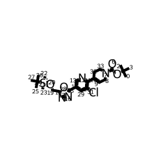 CC(C)(C)OC(=O)N1CC=C(c2ncc(-c3nnc(CO[Si](C)(C)C(C)(C)C)o3)cc2Cl)CC1